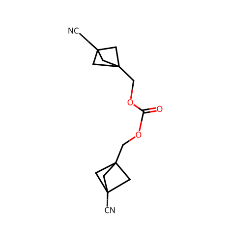 N#CC12CC(COC(=O)OCC34CC(C#N)(C3)C4)(C1)C2